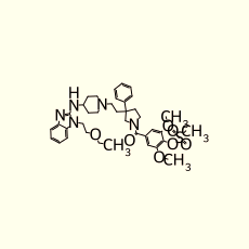 CCOCCn1c(NC2CCN(CCC3(c4ccccc4)CCN(C(=O)c4cc(OC)c(OS(C)(=O)=O)c(OC)c4)C3)CC2)nc2ccccc21